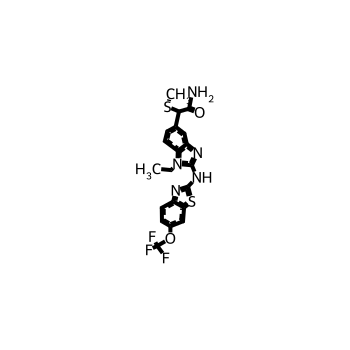 CCn1c(Nc2nc3ccc(OC(F)(F)F)cc3s2)nc2cc(C(SC)C(N)=O)ccc21